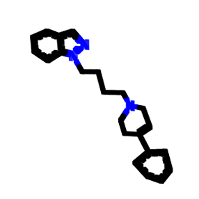 C1=C(c2ccccc2)CCN(CCCCn2ncc3ccccc32)C1